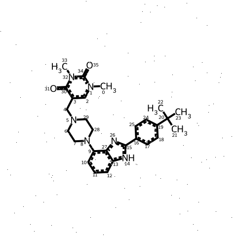 Cn1cc(CN2CCN(c3cccc4[nH]c(-c5ccc(C(C)(C)C)cc5)nc34)CC2)c(=O)n(C)c1=O